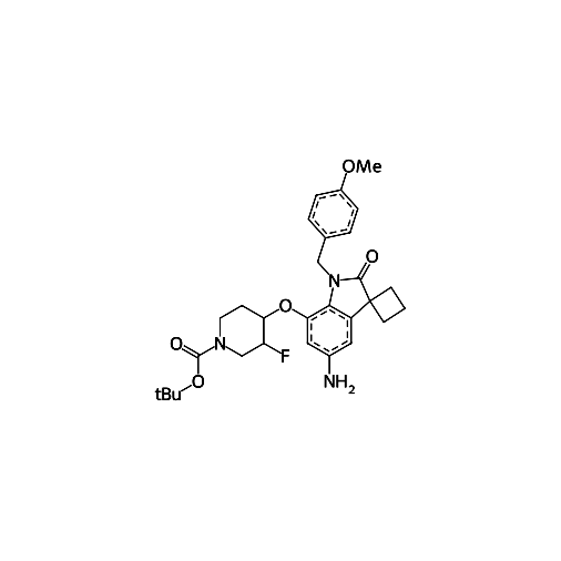 COc1ccc(CN2C(=O)C3(CCC3)c3cc(N)cc(OC4CCN(C(=O)OC(C)(C)C)CC4F)c32)cc1